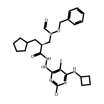 O=CN(C[C@H](CC1CCCC1)C(=O)NNc1nc(Cl)nc(NC2CCC2)c1F)OCc1ccccc1